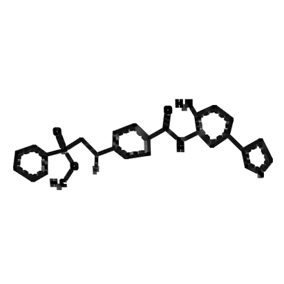 COP(=O)(CC(F)c1ccc(C(=O)Nc2cc(-c3ccsc3)ccc2N)cc1)c1ccccc1